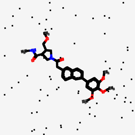 CNC(=O)C1CN(C(=O)Cc2ccc3cc(-c4cc(OC)c(OC)c(OC)c4)ccc3c2)CC1COC